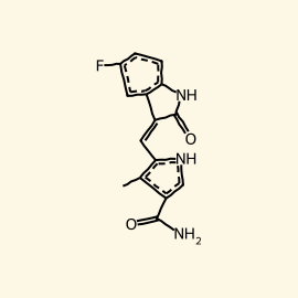 Cc1c(C(N)=O)c[nH]c1C=C1C(=O)Nc2ccc(F)cc21